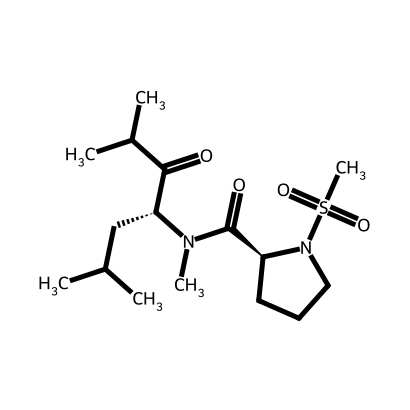 CC(C)C[C@H](C(=O)C(C)C)N(C)C(=O)[C@@H]1CCCN1S(C)(=O)=O